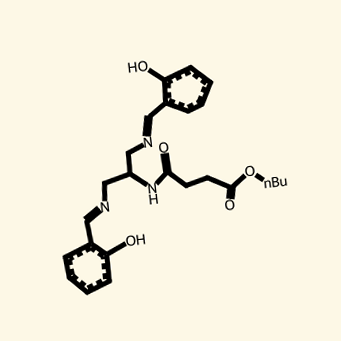 CCCCOC(=O)CCC(=O)NC(C/N=C/c1ccccc1O)C/N=C/c1ccccc1O